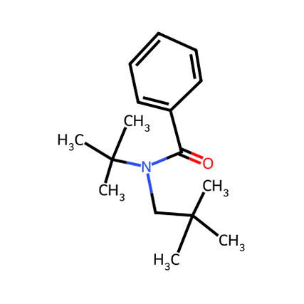 CC(C)(C)CN(C(=O)c1ccccc1)C(C)(C)C